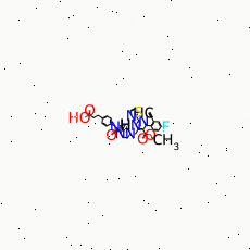 C#Cc1cc(F)ccc1C1N=C(c2nccs2)NC(CN2CCN3C(=O)N(c4ccc(CCC(=O)O)cc4)C[C@@H]3C2)=C1C(=O)OCC